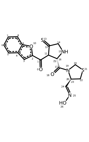 O=C(c1cc2ccccc2o1)C1C(=S)CN[C@@H]1C(=O)N1CSC[C@H]1C=NO